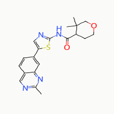 Cc1ncc2ccc(-c3cnc(NC(=O)C4CCOCC4(C)C)s3)cc2n1